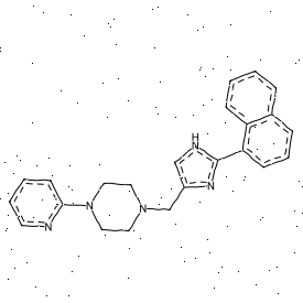 c1ccc(N2CCN(Cc3c[nH]c(-c4cccc5ccccc45)n3)CC2)nc1